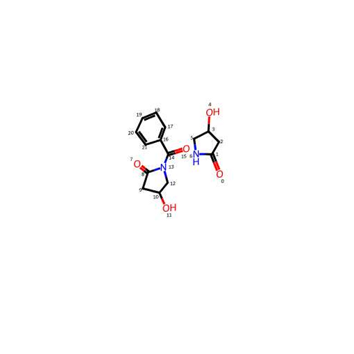 O=C1CC(O)CN1.O=C1CC(O)CN1C(=O)c1ccccc1